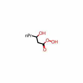 CCCC(O)CC(=O)OO